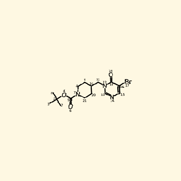 CC(C)(C)OC(=O)N1CCC(Cn2cncc(Br)c2=O)CC1